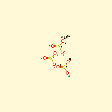 O=S([O-])[O-].O=S([O-])[O-].O=S([O-])[O-].[U+6]